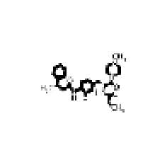 CCC(=O)N[C@H](Cc1ccc(NC(=O)C[C@H](C)c2ccccc2)c(F)c1)C(=O)N1CCN(C)CC1